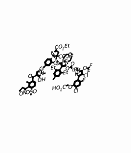 CCOC(=O)C1=NN(c2ccc(Cl)cc2Cl)C(C)(C(=O)OCC)C1.CCc1cc(C)cc(CC)c1-c1c(OC(=O)C(C)(C)C)n2n(c1=O)CCOCC2.Cc1c(C(=O)c2cnn(C)c2O)ccc(S(C)(=O)=O)c1C1=NOCC1.Cn1nc(-c2cc(OCC(=O)O)c(Cl)cc2F)c(Cl)c1OC(F)F